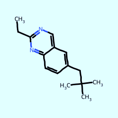 CCc1ncc2cc(CC(C)(C)C)ccc2n1